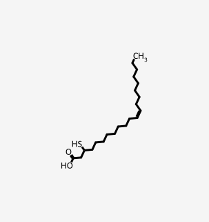 CCCCCCCC/C=C\CCCCCCCCC(S)CC(=O)O